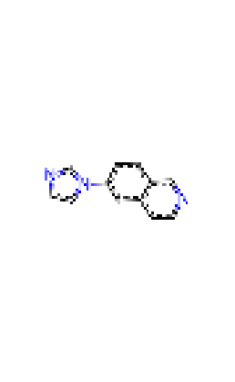 c1cc2cc(-n3ccnc3)ccc2cn1